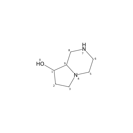 OC1CCN2CCNCC12